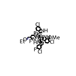 CCO/C=C/c1cc(F)c(NS(=O)(=O)c2c[nH]c3cc(Cl)ccc23)nc1F.COc1c(Cl)ccc2c(S(=O)(=O)Nc3cc(F)c(Cl)cc3F)c[nH]c12